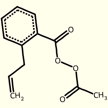 C=CCc1ccccc1C(=O)OOC(C)=O